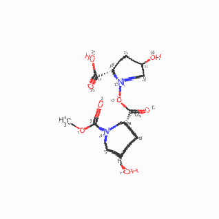 COC(=O)N1C[C@H](O)C[C@H]1C(=O)ON1CC(O)C[C@H]1C(=O)O